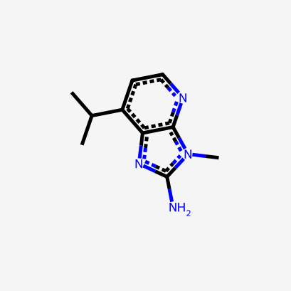 CC(C)c1ccnc2c1nc(N)n2C